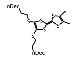 CCCCCCCCCCCCSC1=C(SCCCCCCCCCCCC)SC(=C2SC(C)=C(C)S2)S1